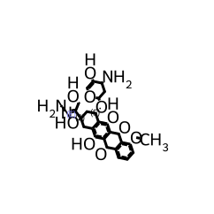 COc1cccc2c1C(=O)c1c(O)c3c(c(O)c1C2=O)C[C@@](O)(/C(CO)=N/N)C[C@@H]3OC1CC(N)C(O)=CO1